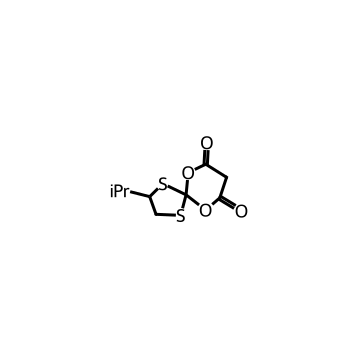 CC(C)C1CSC2(OC(=O)CC(=O)O2)S1